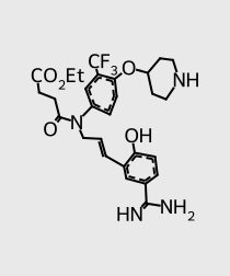 CCOC(=O)CCC(=O)N(CC=Cc1cc(C(=N)N)ccc1O)c1ccc(OC2CCNCC2)c(C(F)(F)F)c1